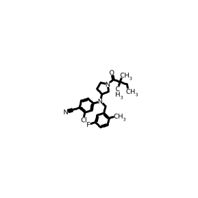 CCC(C)(C)C(=O)N1CCC(N(Cc2cc(F)ccc2C)c2ccc(C#N)c(Cl)c2)C1